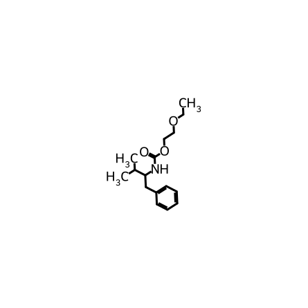 CCOCCOC(=O)NC(Cc1ccccc1)C(C)C